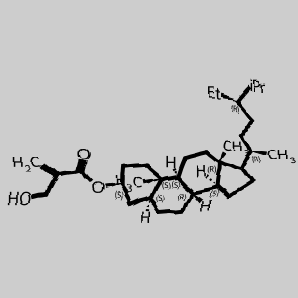 C=C(CO)C(=O)O[C@H]1CC[C@@]2(C)[C@@H](CC[C@@H]3[C@@H]2CC[C@]2(C)C([C@H](C)CC[C@@H](CC)C(C)C)CC[C@@H]32)C1